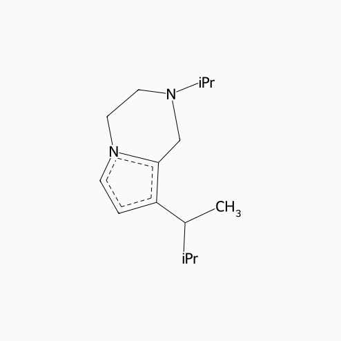 CC(C)C(C)c1ccn2c1CN(C(C)C)CC2